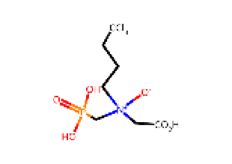 O=C(O)C[N+]([O-])(CCCC(Cl)(Cl)Cl)CP(=O)(O)O